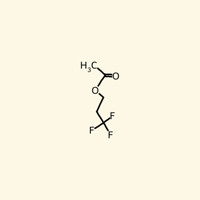 CC(=O)OCCC(F)(F)F